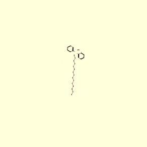 CCCCCCCCCCCCCCCC[N+](CC)(c1ccccc1)c1ccccc1.[OH-]